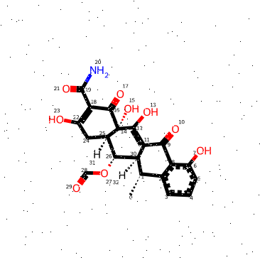 C[C@H]1c2cccc(O)c2C(=O)C2=C(O)[C@]3(O)C(=O)C(C(N)=O)=C(O)C[C@@H]3[C@@H](OC=O)[C@@H]21